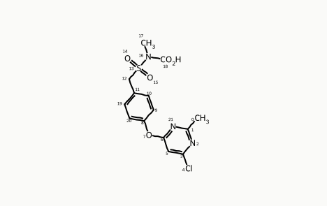 Cc1nc(Cl)cc(Oc2ccc(CS(=O)(=O)N(C)C(=O)O)cc2)n1